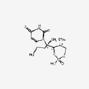 CO[C@@H]1COP(=O)(O)O[C@H]1[C@](C)(CCO)n1ccc(=O)[nH]c1=O